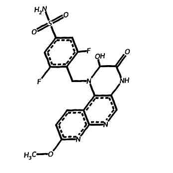 COc1ccc2c3c(cnc2n1)NC(=O)C(O)N3Cc1c(F)cc(S(N)(=O)=O)cc1F